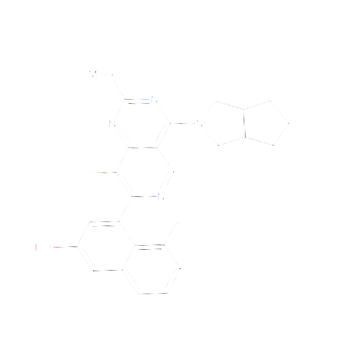 CCc1cccc2cc(O)cc(-c3ncc4c(N5CC6CCCC6C5)nc(OC)nc4c3F)c12